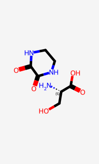 N[C@@H](CO)C(=O)O.O=C1NCCNC1=O